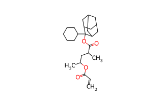 C=CC(=O)OC(C)CC(C)C(=O)OC1(C2CCCCC2)C2CC3CC(C2)CC1C3